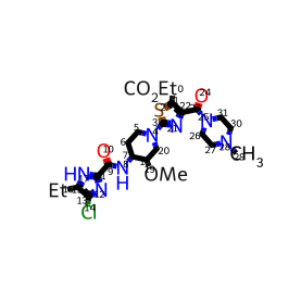 CCOC(=O)c1sc(N2CCC(NC(=O)c3nc(Cl)c(CC)[nH]3)C(OC)C2)nc1C(=O)N1CCN(C)CC1